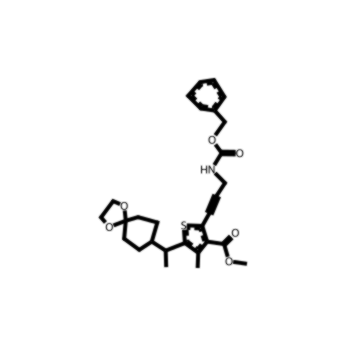 COC(=O)c1c(C#CCNC(=O)OCc2ccccc2)sc(C(C)C2CCC3(CC2)OCCO3)c1C